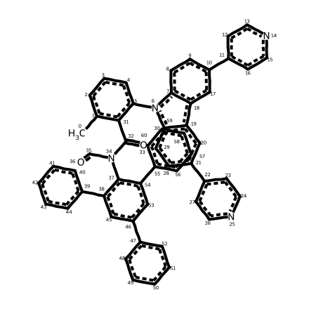 Cc1cccc(-n2c3ccc(-c4ccncc4)cc3c3cc(-c4ccncc4)ccc32)c1C(=O)N(C=O)c1c(-c2ccccc2)cc(-c2ccccc2)cc1-c1ccccc1